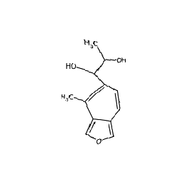 Cc1c(C(O)C(C)O)ccc2cocc12